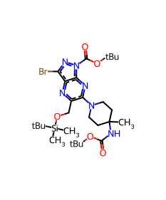 CC1(NC(=O)OC(C)(C)C)CCN(c2nc3c(nc2CO[Si](C)(C)C(C)(C)C)c(Br)nn3C(=O)OC(C)(C)C)CC1